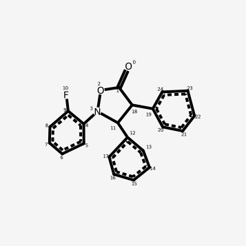 O=C1ON(c2ccccc2F)C(c2ccccc2)C1c1ccccc1